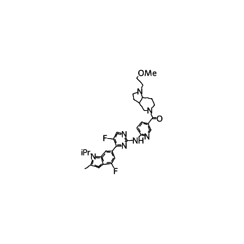 COCCN1CCC2CN(C(=O)c3ccc(Nc4ncc(F)c(-c5cc(F)c6cc(C)n(C(C)C)c6c5)n4)nc3)CCC21